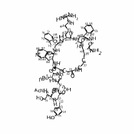 CCCC[C@H](NC(=O)[C@H](CO)NC(=O)[C@H](Cc1ccc(O)cc1)NC(=O)[C@H](CO)NC(C)=O)C(=O)N[C@H]1CCC(=O)NCCCC[C@@H](C(N)=O)NC(=O)[C@H](Cc2c[nH]c3ccccc23)NC(=O)[C@H](CCCNC(=N)N)NC(=O)[C@@H](Cc2ccccc2)NC(=O)[C@H](Cc2cccnc2)NC1=O